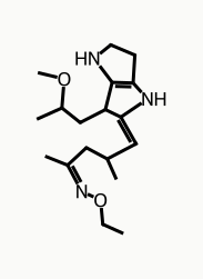 CCO/N=C(/C)CC(C)/C=C1/NC2=C(NCC2)C1CC(C)OC